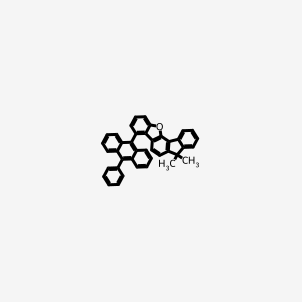 CC1(C)c2ccccc2-c2c1ccc1c2oc2cccc(-c3c4ccccc4c(-c4ccccc4)c4ccccc34)c21